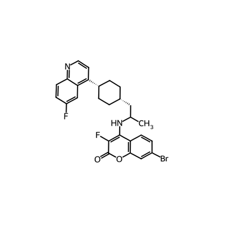 CC(C[C@H]1CC[C@@H](c2ccnc3ccc(F)cc32)CC1)Nc1c(F)c(=O)oc2cc(Br)ccc12